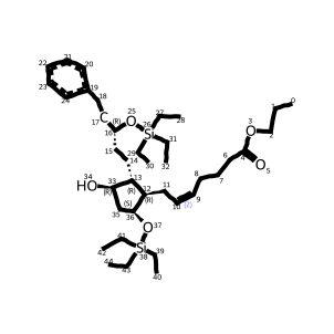 CCCOC(=O)CCC/C=C\C[C@@H]1[C@@H](CC[C@H](CCc2ccccc2)O[Si](CC)(CC)CC)[C@H](O)C[C@@H]1O[Si](CC)(CC)CC